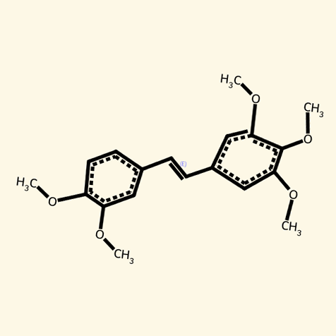 COc1ccc(/C=C/c2cc(OC)c(OC)c(OC)c2)cc1OC